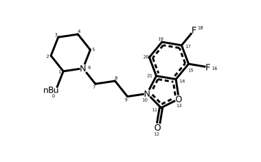 CCCCC1CCCCN1CCCn1c(=O)oc2c(F)c(F)ccc21